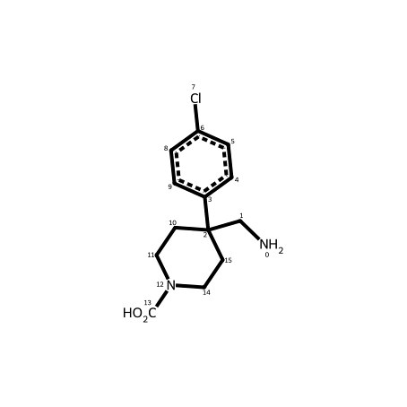 NCC1(c2ccc(Cl)cc2)CCN(C(=O)O)CC1